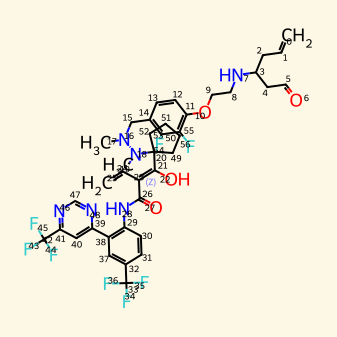 C=CCC(CC=O)NCCOc1ccc(CN(C)N(C)C2(/C(O)=C(\C=C)C(=O)Nc3ccc(C(F)(F)F)cc3-c3cc(C(F)(F)F)ncn3)CCCC2)c(F)c1F